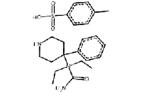 CC[N+](CC)(C(N)=O)C1(c2ccccc2)CCNCC1.Cc1ccc(S(=O)(=O)O)cc1